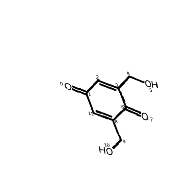 O=C1C=C(CO)C(=O)C(CO)=C1